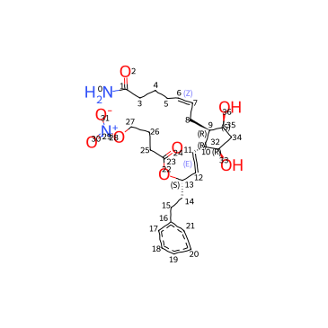 NC(=O)CCC/C=C\C[C@@H]1[C@@H](/C=C/[C@H](CCc2ccccc2)OC(=O)CCCO[N+](=O)[O-])[C@H](O)C[C@@H]1O